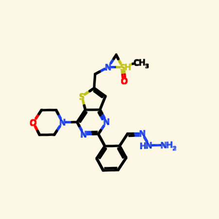 C[SH]1(=O)CN1Cc1cc2nc(-c3ccccc3/C=N\NN)nc(N3CCOCC3)c2s1